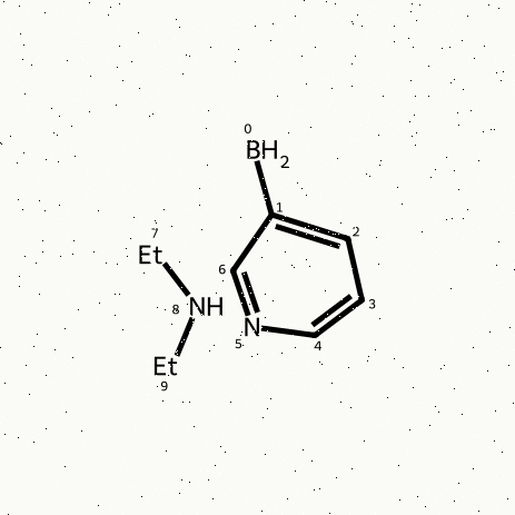 Bc1cccnc1.CCNCC